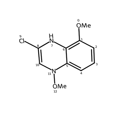 COc1cccc2c1NC(Cl)=CN2OC